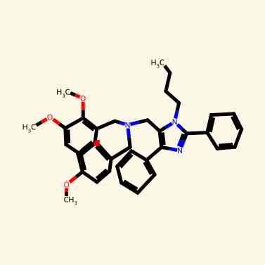 CCCCn1c(-c2ccccc2)nc(-c2ccccc2)c1CN(Cc1ccc(OC)cc1)Cc1cccc(OC)c1OC